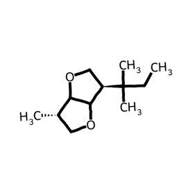 CCC(C)(C)[C@@H]1COC2C1OC[C@@H]2C